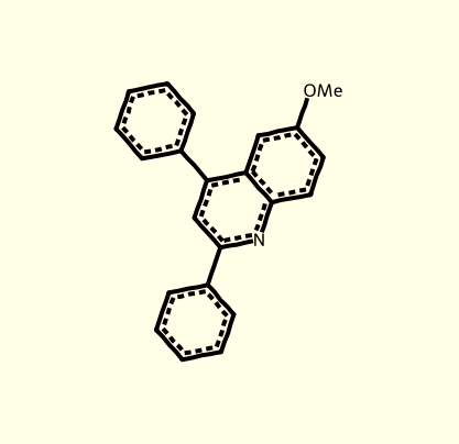 COc1ccc2nc(-c3ccccc3)cc(-c3ccccc3)c2c1